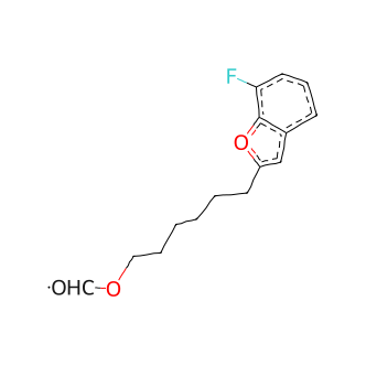 O=[C]OCCCCCCc1cc2cccc(F)c2o1